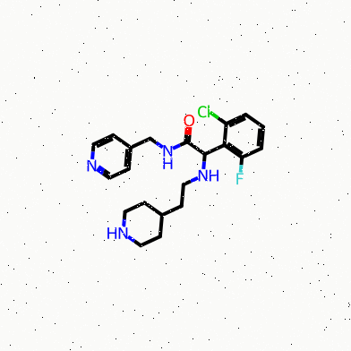 O=C(NCc1ccncc1)C(NCCC1CCNCC1)c1c(F)cccc1Cl